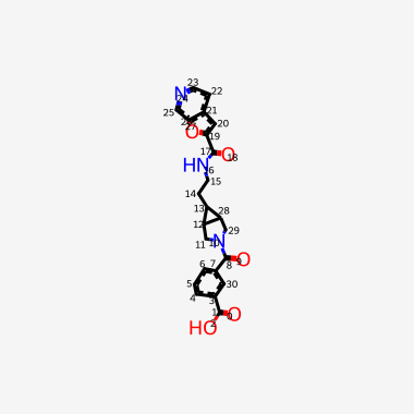 O=C(O)c1cccc(C(=O)N2CC3C(CCNC(=O)c4cc5ccncc5o4)C3C2)c1